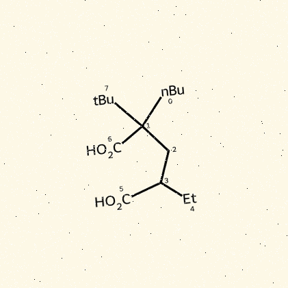 CCCCC(CC(CC)C(=O)O)(C(=O)O)C(C)(C)C